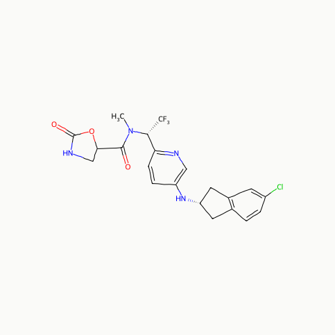 CN(C(=O)C1CNC(=O)O1)[C@@H](c1ccc(N[C@H]2Cc3ccc(Cl)cc3C2)cn1)C(F)(F)F